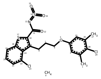 C.Cc1cc(OCCCc2c(C(=O)N=S(=O)=O)sc3cccc(Cl)c23)cc(C)c1Cl